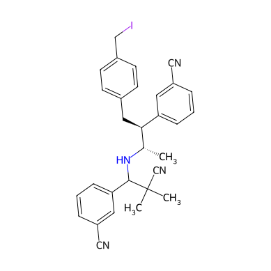 C[C@H](NC(c1cccc(C#N)c1)C(C)(C)C#N)[C@@H](Cc1ccc(CI)cc1)c1cccc(C#N)c1